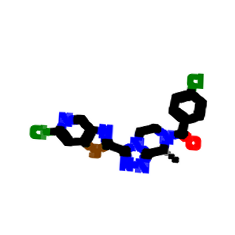 C[C@@H]1c2nnc(-c3nc4cnc(Cl)cc4s3)n2CCN1C(=O)c1ccc(Cl)cc1